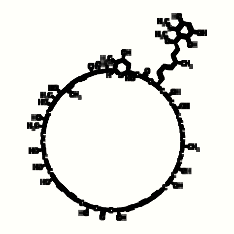 CO[C@H](CC[C@@H](C)/C=C/C=C/[C@H]1C[C@H](O)C[C@H](O)CCCC[C@@H](C)CC[C@@H](O)C[C@H](O)C\C=C/C=C\C=C\[C@@H](O)CC(=O)C[C@H](O)C/C=C\C=C\[C@H](O)C[C@H](O)C[C@@H](O)CC[C@H](C)[C@@H](O)C[C@@H](O)[C@H](C)[C@@H](O)/C(C)=C/C=C\[C@@H](C)[C@H](O)[C@@H](C)[C@H]2O[C@@](O)(CC(=O)O1)C[C@H](O)[C@@H]2C)c1c(O)c(O)cc(O)c1SC